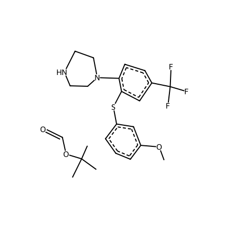 CC(C)(C)OC=O.COc1cccc(Sc2cc(C(F)(F)F)ccc2N2CCNCC2)c1